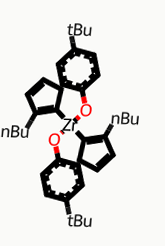 CCCCC1=[C]([Zr]([O]c2ccc(C(C)(C)C)cc2)([O]c2ccc(C(C)(C)C)cc2)[C]2=C(CCCC)C=CC2)CC=C1